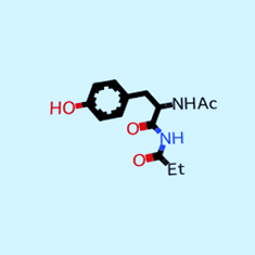 CCC(=O)NC(=O)C(Cc1ccc(O)cc1)NC(C)=O